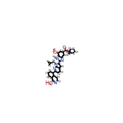 COc1cc(C(=O)N2CC3CCC2[C@@H]3C)cc2nc(-c3cc4ccc(-c5cccc6c(O)nccc56)nc4n3CC3CC3)n(C)c12